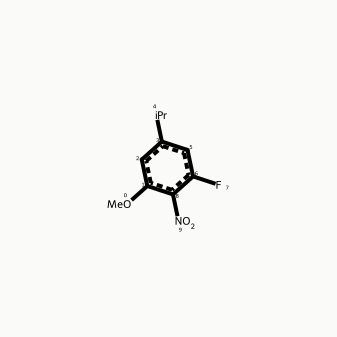 COc1cc(C(C)C)cc(F)c1[N+](=O)[O-]